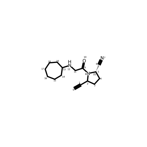 C#CC1CC[C@@H](C#N)N1C(=O)CNC1CCCCCC1